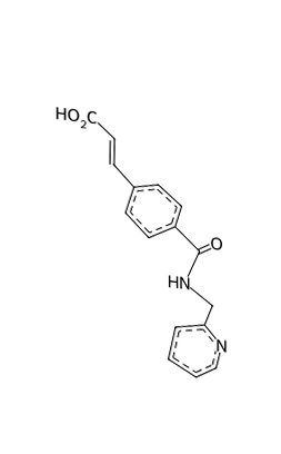 O=C(O)/C=C/c1ccc(C(=O)NCc2ccccn2)cc1